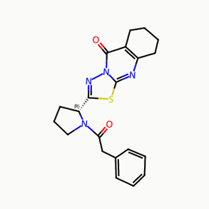 O=C(Cc1ccccc1)N1CCC[C@@H]1c1nn2c(=O)c3c(nc2s1)CCCC3